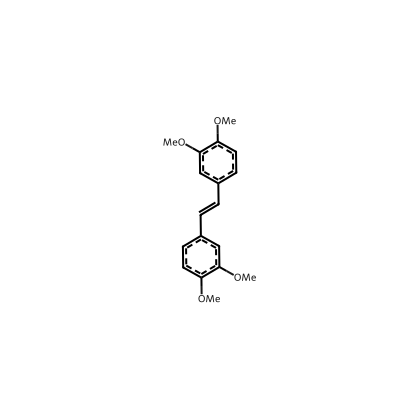 COc1ccc(C=Cc2ccc(OC)c(OC)c2)cc1OC